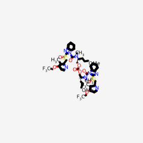 COCCC[C@H](COC(=O)OC[C@@H](CCCOC)N(C)C(=O)n1c([S@+]([O-])Cc2nccc(OCC(F)(F)F)c2C)nc2ccccc21)N(C)C(=O)n1c([S@+]([O-])Cc2nccc(OCC(F)(F)F)c2C)nc2ccccc21